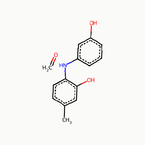 C=O.Cc1ccc(Nc2cccc(O)c2)c(O)c1